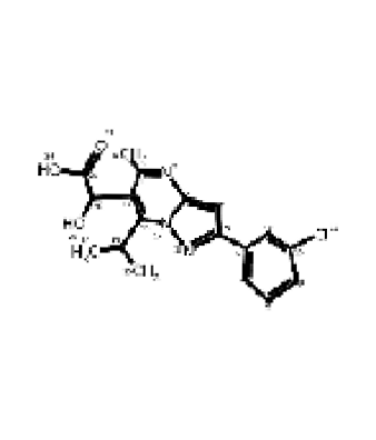 Cc1nc2cc(-c3cccc(Cl)c3)nn2c(C(C)C)c1C(O)C(=O)O